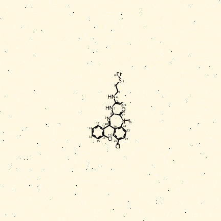 CCSCCNC(=S)NC1N=C(c2ccccc2Cl)c2cc(Cl)ccc2N(C)C1=O